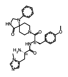 COc1ccc(C[C@@H](NC(=O)[C@@H](N)Cc2cncn2C)C(=O)N2CCC3(CC2)C(=O)NCN3c2ccccc2)cc1